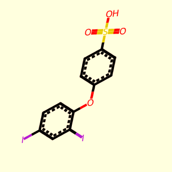 O=S(=O)(O)c1ccc(Oc2ccc(I)cc2I)cc1